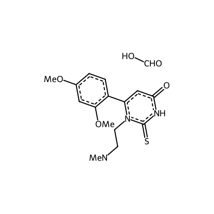 CNCCn1c(-c2ccc(OC)cc2OC)cc(=O)[nH]c1=S.O=CO